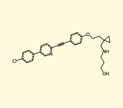 OCCCNCC1(CCOc2ccc(C#Cc3ccc(-c4ccc(Cl)cc4)cn3)cc2)CC1